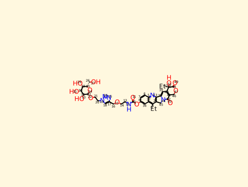 CCc1c2c(nc3ccc(OC(=O)NCCOCc4cn(CCO[C@H]5O[C@@H](CO)[C@H](O)[C@@H](O)[C@@H]5O)nn4)cc13)-c1cc3c(c(=O)n1C2)COC(=O)[C@]3(O)CC